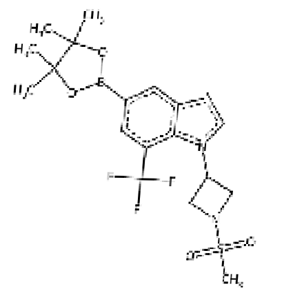 CC1(C)OB(c2cc(C(F)(F)F)c3c(c2)ncn3C2CN(S(C)(=O)=O)C2)OC1(C)C